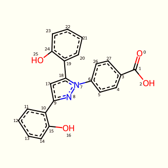 O=C(O)c1ccc(-n2nc(-c3ccccc3O)cc2-c2ccccc2O)cc1